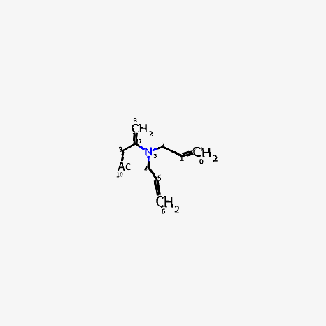 C=CCN(CC=C)C(=C)CC(C)=O